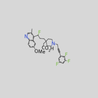 COc1ccc2ncc(C)c([C@@H](F)CCC3(CC(=O)O)CCN(CC#Cc4cc(F)cc(F)c4F)CC3)c2c1